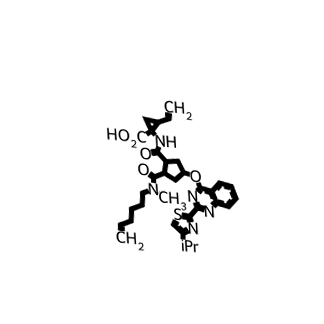 C=CCCCCN(C)C(=O)C1CC(Oc2nc(-c3nc(C(C)C)cs3)nc3ccccc23)CC1C(=O)NC1(C(=O)O)CC1C=C